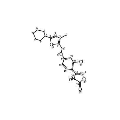 Cc1nc(C2CCCCC2)oc1COc1ccc(-c2noc(=O)[nH]2)c(Cl)c1